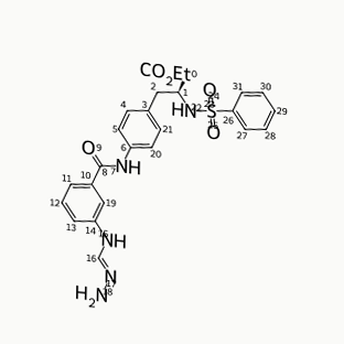 CCOC(=O)[C@H](Cc1ccc(NC(=O)c2cccc(NC=NN)c2)cc1)NS(=O)(=O)c1ccccc1